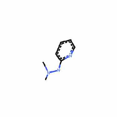 CN(C)[N]c1ccccn1